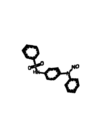 O=NN(c1ccccc1)c1ccc(NS(=O)(=O)c2ccccc2)cc1